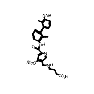 CNc1cccc(-c2cccc(NC(=O)c3cc(OC)c(CNCCCC(=O)O)cn3)c2C)c1C